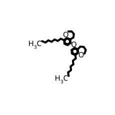 CCCCCCCCc1ccc(Oc2ccc(CCCCCCCC)c3c2CCCCO3)c2c1OCCCC2